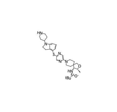 C[C@@H]1OCC2(CCN(c3cnc(Sc4cccc5c4CCN5C4CCNCC4)cn3)CC2)[C@@H]1N[S@+]([O-])C(C)(C)C